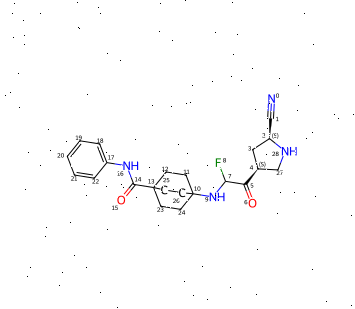 N#C[C@@H]1C[C@H](C(=O)C(F)NC23CCC(C(=O)Nc4ccccc4)(CC2)CC3)CN1